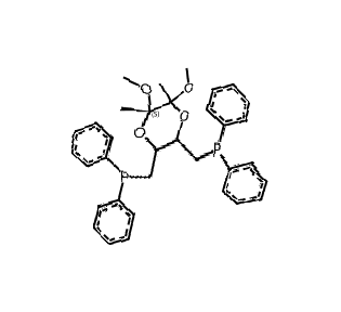 COC1(C)OC(CP(c2ccccc2)c2ccccc2)C(CP(c2ccccc2)c2ccccc2)O[C@]1(C)OC